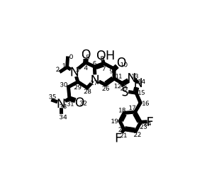 CC(C)N1C(=O)c2c(O)c(=O)c(-c3nnc(Cc4ccc(F)cc4F)s3)cn2CC1CC(=O)N(C)C